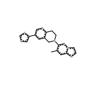 Cc1cc2nccn2nc1N1CCc2ncc(-c3cncs3)cc2C1